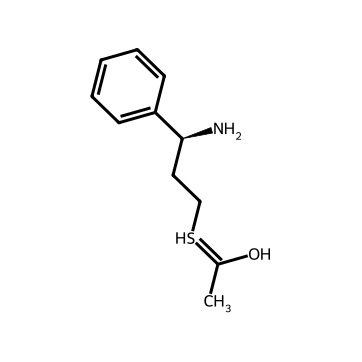 CC(O)=[SH]CC[C@H](N)c1ccccc1